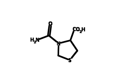 NC(=O)N1CSCC1C(=O)O